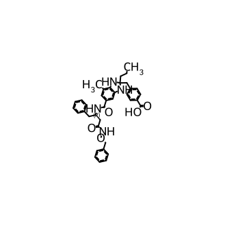 CCCC1(Cc2ccc(C(=O)O)cc2)Nc2cc(C(=O)N[C@@H](CC(=O)NOCc3ccccc3)Cc3ccccc3)cc(C)c2N1